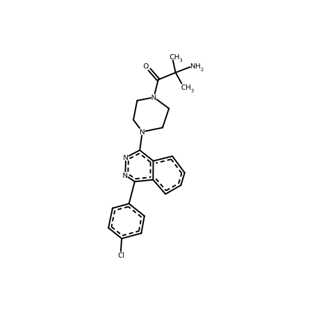 CC(C)(N)C(=O)N1CCN(c2nnc(-c3ccc(Cl)cc3)c3ccccc23)CC1